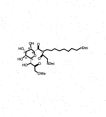 CCCCCCCCCCCCCCCCCCN(C(=O)CCCCCCCCCCC)C(=O)[C@@H]1O[C@H](C(O)C(=O)COC)[C@@H](O)[C@H](O)[C@H]1O